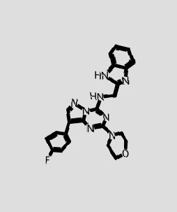 Fc1ccc(-c2cnn3c(NCc4nc5ccccc5[nH]4)nc(N4CCOCC4)nc23)cc1